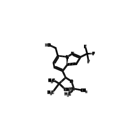 C[SiH](C)OC(c1ccc(CO)n2nc(C(F)(F)F)cc12)C(C)(C)C